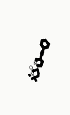 CN1C(=O)[C@H](c2ccc(C#Cc3ccccc3)cn2)CCC1(C)C